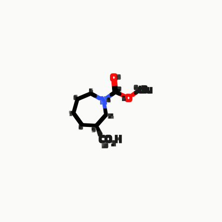 CC(C)(C)OC(=O)N1CCCC[C@H](C(=O)O)C1